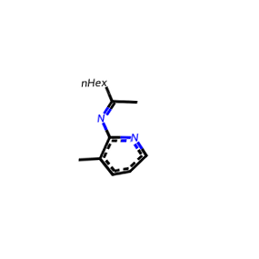 CCCCCC/C(C)=N/c1ncccc1C